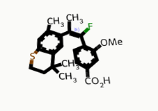 COc1cc(C(=O)O)ccc1/C(F)=C(/C)c1cc2c(cc1C)SCCC2(C)C